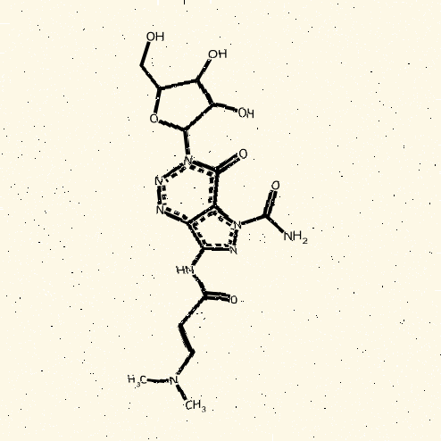 CN(C)CCC(=O)Nc1nn(C(N)=O)c2c(=O)n(C3OC(CO)C(O)C3O)nnc12